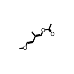 CO/C=C/C(C)=C/OC(C)=O